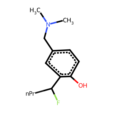 CCCC(F)c1cc(CN(C)C)ccc1O